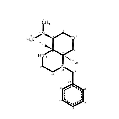 CN(C)[C@H]1COC[C@@H]2[C@@H]1NCCN2Cc1ccccc1